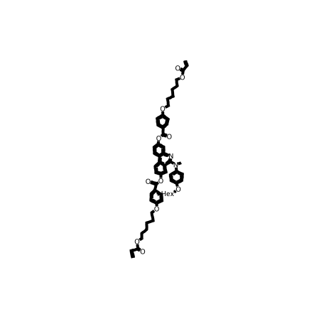 C=CC(=O)OCCCCCCOc1ccc(C(=O)Oc2ccc3c(c2)nc(N(C)c2ccc(OCCCCCC)cc2)c2cc(OC(=O)c4ccc(OCCCCCCOC(=O)C=C)cc4)ccc23)cc1